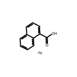 O=C(O)c1cccc2ccccc12.[Fe]